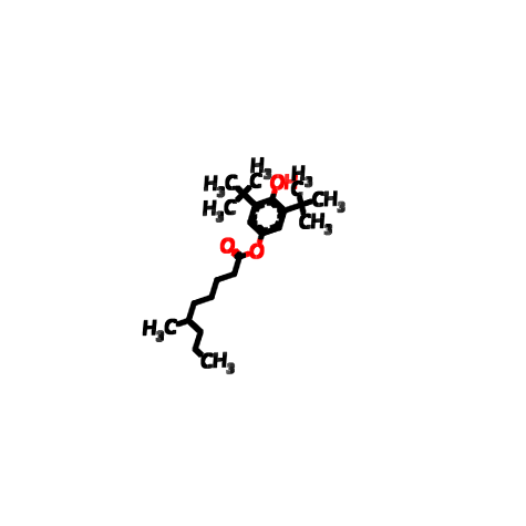 CCCC(C)CCCCC(=O)Oc1cc(C(C)(C)C)c(O)c(C(C)(C)C)c1